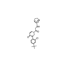 CC(C)(C)c1ccc(N2CC(C(=O)CNC3CC4CCN(CC4)C3)C=CC2=O)c(Cl)c1